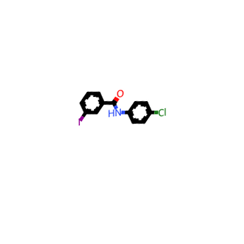 O=C(Nc1ccc(Cl)cc1)c1cccc(I)c1